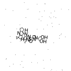 NS(=O)(=NC(=O)Nc1c2c(nc3c1CCC31CC1)CCC2)c1ccn(C(CO)CO)n1